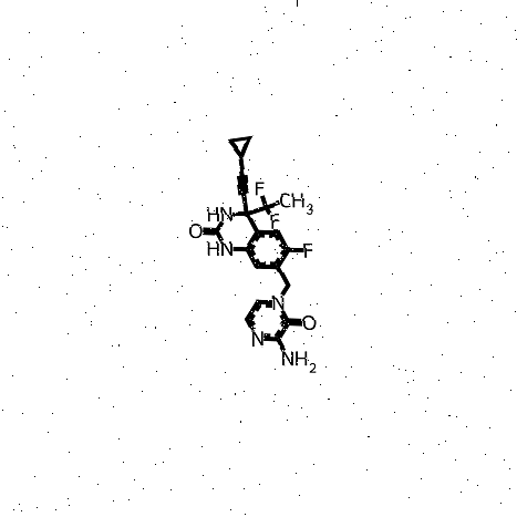 CC(F)(F)C1(C#CC2CC2)NC(=O)Nc2cc(Cn3ccnc(N)c3=O)c(F)cc21